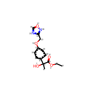 CCOC(=O)C(C)(O)c1ccc(OCc2ncon2)cc1